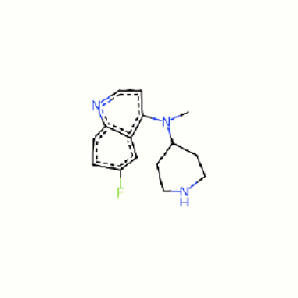 CN(c1ccnc2ccc(F)cc12)C1CCNCC1